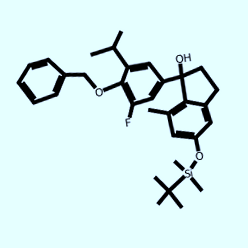 Cc1cc(O[Si](C)(C)C(C)(C)C)cc2c1C(O)(c1cc(F)c(OCc3ccccc3)c(C(C)C)c1)CC2